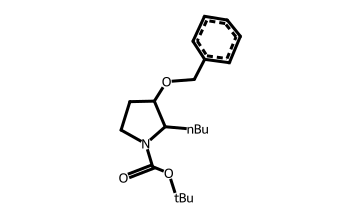 CCCCC1C(OCc2ccccc2)CCN1C(=O)OC(C)(C)C